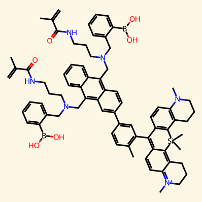 C=C(C)C(=O)NCCCN(Cc1ccccc1B(O)O)Cc1c2ccccc2c(CN(CCCNC(=O)C(=C)C)Cc2ccccc2B(O)O)c2cc(-c3ccc(C)c(C4=c5ccc6c(c5[Si](C)(C)c5c4ccc4c5CCCN4C)CCC[N+]=6C)c3)ccc12